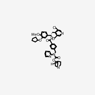 COc1ccc([C@H](Cc2c(Cl)cncc2Cl)OC(=O)c2ccc(CN(C(=O)O[C@H]3CN4CCC3CC4)c3ccccn3)cc2)cc1OC1CCCC1